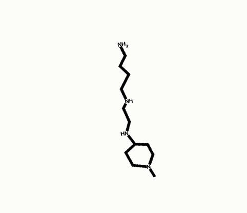 CN1CCC(NCCNCCCCN)CC1